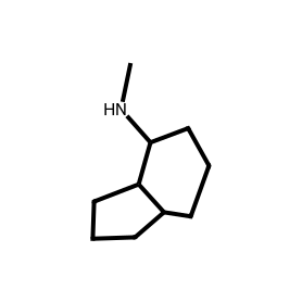 CNC1CCCC2CCCC21